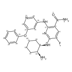 NC(=O)c1cc(F)c(N[C@@H]2CCCC[C@@H]2N)nc1Nc1cncc(Oc2ccccc2)c1